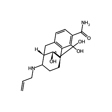 C=CCNC1CC[C@]23CC(O)C=C[C@@]2(O)[C@H]1Cc1ccc(C(N)=O)c(O)c13